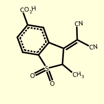 CC1C(=C(C#N)C#N)c2cc(C(=O)O)ccc2S1(=O)=O